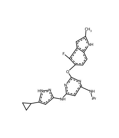 Cc1cc2c(F)c(Oc3nc(Nc4cc(C5CC5)[nH]n4)cc(NC(C)C)n3)ccc2[nH]1